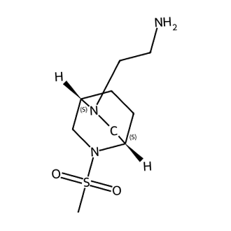 CS(=O)(=O)N1C[C@@H]2CC[C@H]1CN2CCN